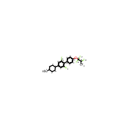 CCCCC1CCC(c2cc(F)c(-c3ccc(OC(F)(F)C(F)C(F)(F)F)cc3)c(F)c2)CC1